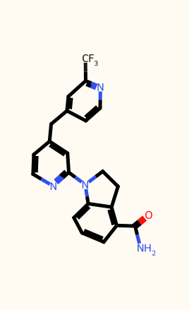 NC(=O)c1cccc2c1CCN2c1cc(Cc2ccnc(C(F)(F)F)c2)ccn1